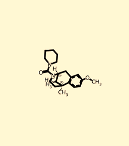 COc1ccc2c(c1)C[C@@H]1N(C(=O)N3CCCCC3)CC[C@@]2(C)C1(C)C